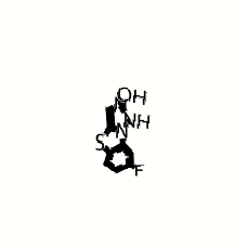 ON1C=C2Sc3ccc(F)cc3N2N1